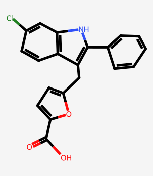 O=C(O)c1ccc(Cc2c(-c3ccccc3)[nH]c3cc(Cl)ccc23)o1